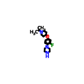 CC(C)N1CCC(Oc2ccc(N3CCNCC3)c(F)c2)CC1